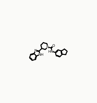 O=C(Nc1ccc2c(c1)CCC2)N1CCCC(c2nc3ccccc3[nH]2)C1